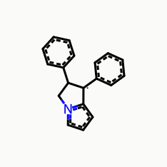 c1ccc([C]2c3cccn3CC2c2ccccc2)cc1